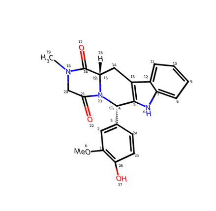 COc1cc([C@H]2c3[nH]c4ccccc4c3C[C@H]3C(=O)N(C)CC(=O)N23)ccc1O